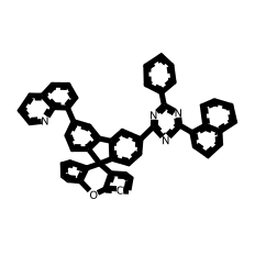 c1ccc(-c2nc(-c3ccc4c(c3)-c3cc(-c5cccc6cccnc56)ccc3C43c4ccccc4Oc4ccccc43)nc(-c3cccc4ccccc34)n2)cc1